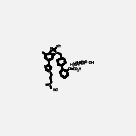 CCCc1nc2c(C)cc(-c3cn(CCCN(C)C)cn3)cc2n1Cc1ccc(-c2ccccc2OC(=O)O)cc1.Cl.Cl.O.O.O.O.O